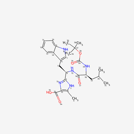 Cc1[nH]c([C@@H](Cc2c[nH]c3ccccc23)NC(=O)[C@H](CC(C)C)NC(=O)OC(C)(C)C)nc1C(=O)O